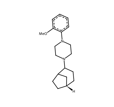 COc1ccccc1N1CCN(C2CC[C@@H]3CCC2C3)CC1